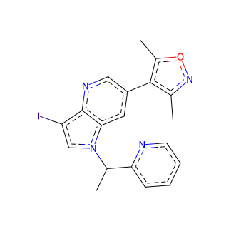 Cc1noc(C)c1-c1cnc2c(I)cn(C(C)c3ccccn3)c2c1